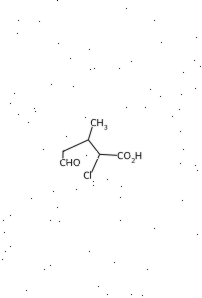 CC(CC=O)C(Cl)C(=O)O